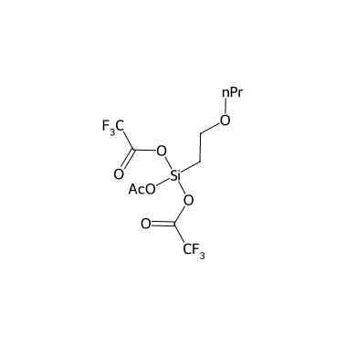 CCCOCC[Si](OC(C)=O)(OC(=O)C(F)(F)F)OC(=O)C(F)(F)F